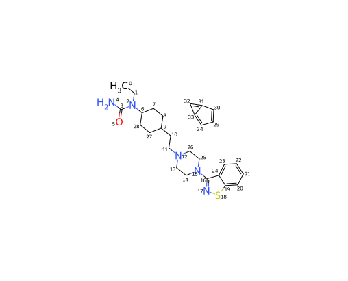 CCN(C(N)=O)C1CCC(CCN2CCN(c3nsc4ccccc34)CC2)CC1.c1cc2cc-2c1